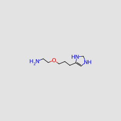 NCCOCCCC1=CNCN1